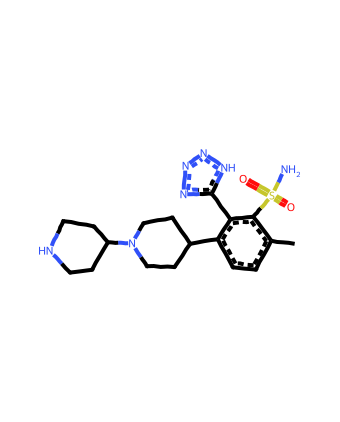 Cc1ccc(C2CCN(C3CCNCC3)CC2)c(-c2nnn[nH]2)c1S(N)(=O)=O